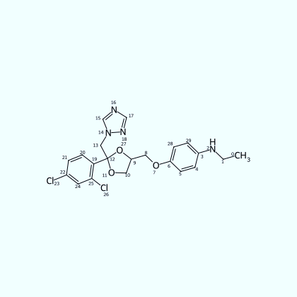 CCNc1ccc(OCC2COC(Cn3cncn3)(c3ccc(Cl)cc3Cl)O2)cc1